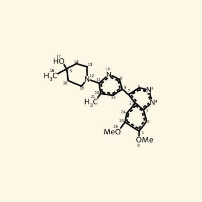 COc1cc2nncc(-c3cnc(N4CCC(C)(O)CC4)c(C)c3)c2cc1OC